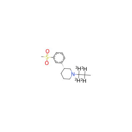 [2H]C([2H])(C)C([2H])([2H])N1CCC[C@H](c2cccc(S(C)(=O)=O)c2)C1